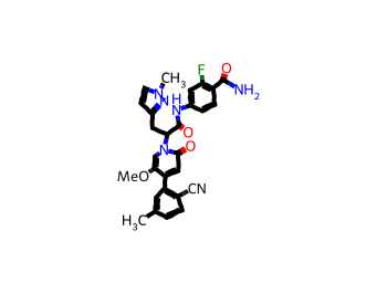 COc1cn(C(Cc2ccn(C)n2)C(=O)Nc2ccc(C(N)=O)c(F)c2)c(=O)cc1-c1cc(C)ccc1C#N